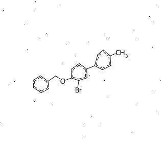 Cc1ccc(-c2ccc(OCc3ccccc3)c(Br)c2)cc1